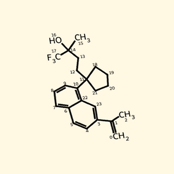 C=C(C)c1ccc2cccc(C3(CCC(C)(O)C(F)(F)F)CCCC3)c2c1